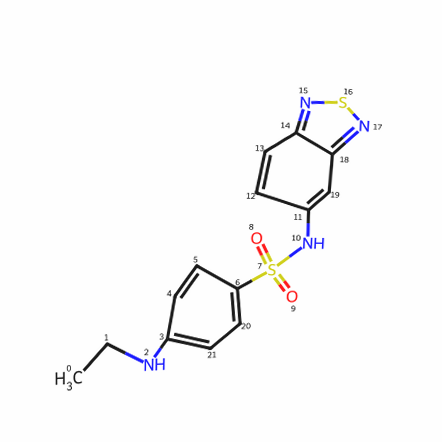 CCNc1ccc(S(=O)(=O)Nc2ccc3nsnc3c2)cc1